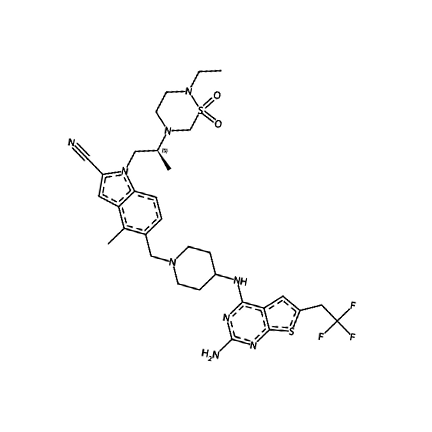 CCN1CCN([C@@H](C)Cn2c(C#N)cc3c(C)c(CN4CCC(Nc5nc(N)nc6sc(CC(F)(F)F)cc56)CC4)ccc32)CS1(=O)=O